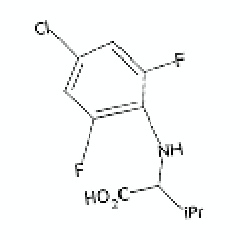 CC(C)C(Nc1c(F)cc(Cl)cc1F)C(=O)O